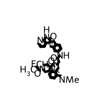 CCC1(C(=O)N(CC(=O)Nc2ccc3c(c2)C[C@@]2(C3)C(=O)Nc3ncccc32)Cc2ccccc2CNC)CCN(C(=O)C(C)(C)F)CC1